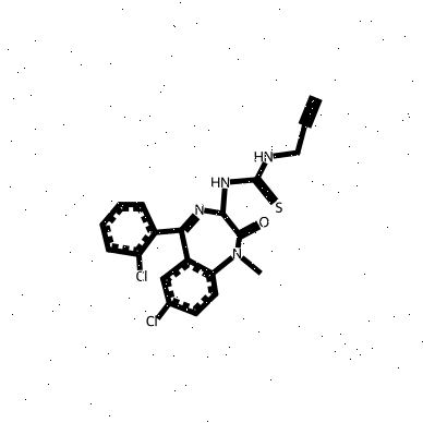 C#CCNC(=S)NC1N=C(c2ccccc2Cl)c2cc(Cl)ccc2N(C)C1=O